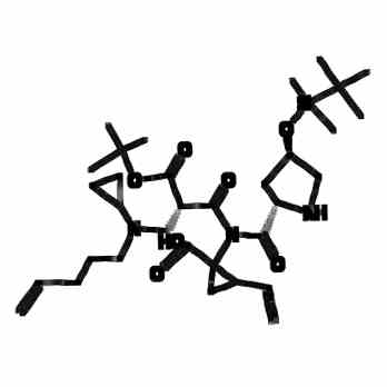 C=CCCCN(C[C@H](C(=O)OC(C)(C)C)C(=O)N(C(=O)[C@@H]1C[C@@H](O[Si](C)(C)C(C)(C)C)CN1)C1(C(=O)O)CC1C=C)C1CC1